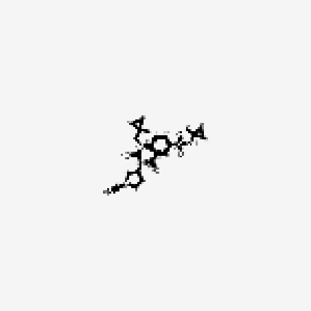 CC1(Cn2c(=O)n(C3CCN(C#N)C3)c(=O)c3cc(S(=O)(=O)NC4(C)CC4)ccc32)CC1